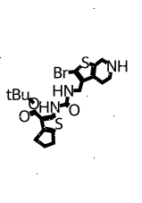 CC(C)(C)OC(=O)c1c(NC(=O)NCc2c(Br)sc3c2CCNC3)sc2c1CCC2